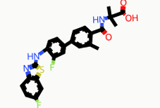 Cc1cc(-c2ccc(Nc3nc4ccc(F)cc4s3)c(F)c2)ccc1C(=O)NC(C)(C)C(=O)O